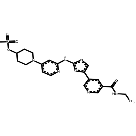 CS(=O)(=O)OC1CCN(c2ccnc(Nc3ncc(-c4cncc(C(=O)NCC(F)(F)F)c4)s3)c2)CC1